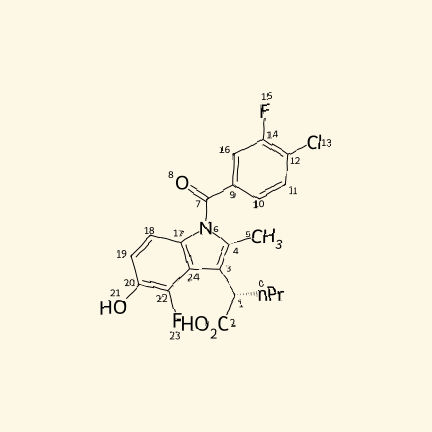 CCC[C@H](C(=O)O)c1c(C)n(C(=O)c2ccc(Cl)c(F)c2)c2ccc(O)c(F)c12